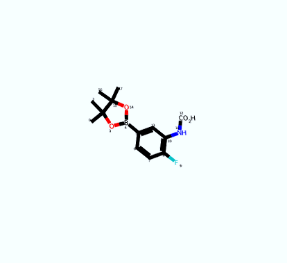 CC1(C)OB(c2ccc(F)c(NC(=O)O)c2)OC1(C)C